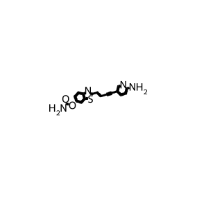 NC(=O)Oc1ccc2nc(C=CC#Cc3ccc(N)nc3)sc2c1